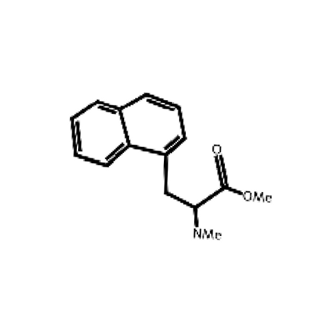 CNC(Cc1cccc2ccccc12)C(=O)OC